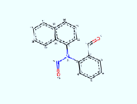 O=Cc1ccccc1N(N=O)c1cccc2ccccc12